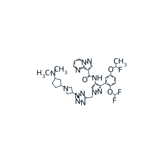 CC(F)Oc1ccc(OC(F)F)c(-c2nn(Cc3nnn(C4CN(C5CCC(N(C)C)C5)C4)n3)cc2NC(=O)c2cnn3cccnc23)c1